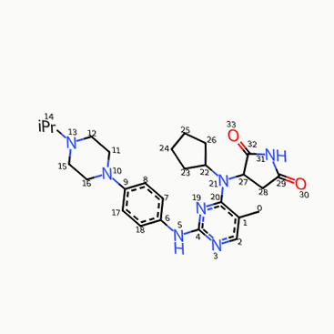 Cc1cnc(Nc2ccc(N3CCN(C(C)C)CC3)cc2)nc1N(C1CCCC1)C1CC(=O)NC1=O